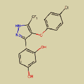 CCc1ccc(Oc2c(-c3ccc(O)cc3O)n[nH]c2C(F)(F)F)cc1